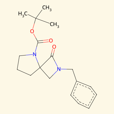 CC(C)(C)OC(=O)N1CCCC12CN(Cc1ccccc1)C2=O